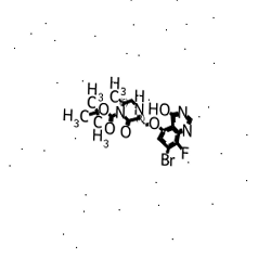 C[C@H]1CN[C@H](COc2cc(Br)c(F)c3ncnc(O)c23)C(=O)N1C(=O)OC(C)(C)C